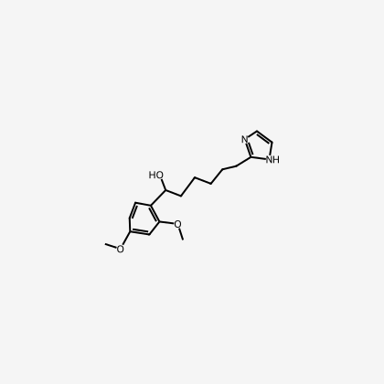 COc1ccc(C(O)CCCCCc2ncc[nH]2)c(OC)c1